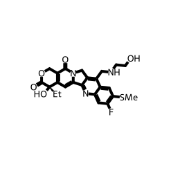 CC[C@@]1(O)C(=O)OCc2c1cc1n(c2=O)Cc2c-1nc1cc(F)c(SC)cc1c2CNCCO